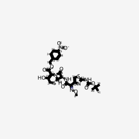 CO/N=C(/C(=O)N[C@@H]1C(=O)N2C(C(=O)OCc3ccc([N+](=O)[O-])cc3)=C(O)CS[C@H]12)c1csc(NC(=O)OC(C)(C)C)n1